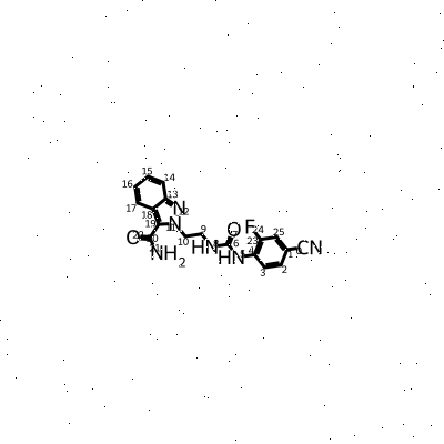 N#Cc1ccc(NC(=O)NCCn2nc3ccccc3c2C(N)=O)c(F)c1